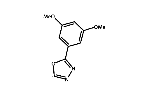 COc1cc(OC)cc(-c2nn[c]o2)c1